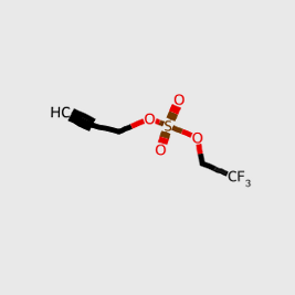 C#CCOS(=O)(=O)OCC(F)(F)F